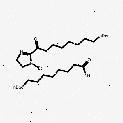 CCCCCCCCCCCCCCCCCC(=O)C1=NCCN1CC.CCCCCCCCCCCCCCCCCC(=O)S